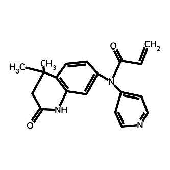 C=CC(=O)N(c1ccncc1)c1ccc2c(c1)NC(=O)CC2(C)C